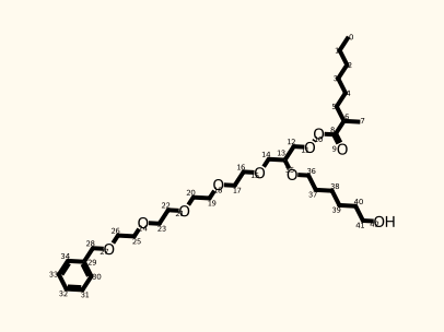 CCCCCCC(C)C(=O)OOCC(COCCOCCOCCOCCOCc1ccccc1)OCCCCCCO